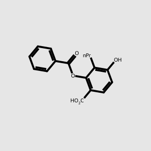 CCCc1c(O)ccc(C(=O)O)c1OC(=O)c1ccccc1